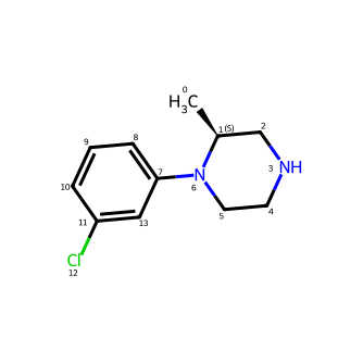 C[C@H]1CNCCN1c1cccc(Cl)c1